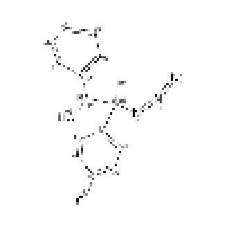 C[C@](N=[N+]=[N-])(c1ccc(Cl)cc1)[C@H](O)c1ccccc1